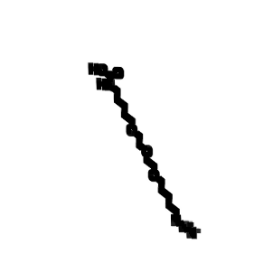 [N-]=[N+]=NCCCCCOCCOCCOCCCCCNC(=O)O